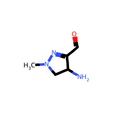 CN1CC(N)C(C=O)=N1